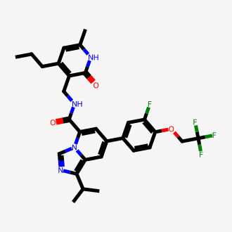 CCCc1cc(C)[nH]c(=O)c1CNC(=O)c1cc(-c2ccc(OCC(F)(F)F)c(F)c2)cc2c(C(C)C)ncn12